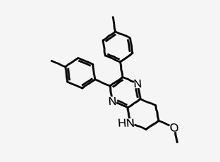 COC1CNc2nc(-c3ccc(C)cc3)c(-c3ccc(C)cc3)nc2C1